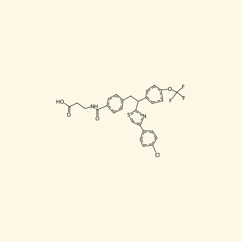 O=C(O)CCNC(=O)c1ccc(CC(c2ccc(OC(F)(F)F)cc2)c2nc(-c3ccc(Cl)cc3)cs2)cc1